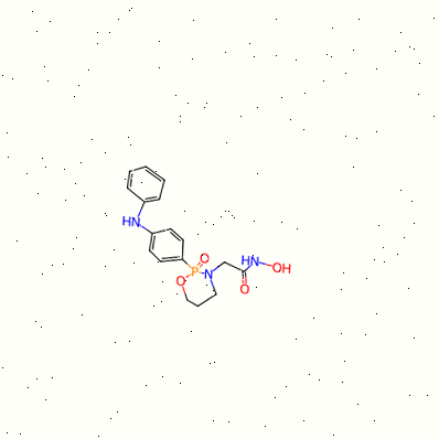 O=C(CN1CCCOP1(=O)c1ccc(Nc2ccccc2)cc1)NO